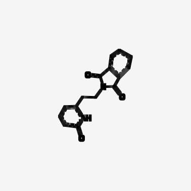 O=C1c2ccccc2C(=O)N1CCc1cccc(=O)[nH]1